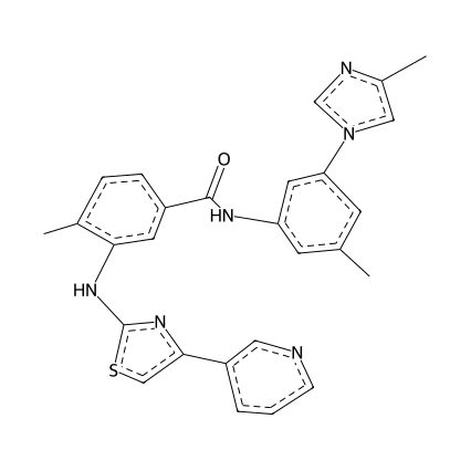 Cc1cc(NC(=O)c2ccc(C)c(Nc3nc(-c4cccnc4)cs3)c2)cc(-n2cnc(C)c2)c1